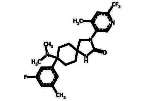 Cc1cc(F)cc(C2(N(C)C)CCC3(CC2)CN(c2cnc(C(F)(F)F)cc2C)C(=O)N3)c1